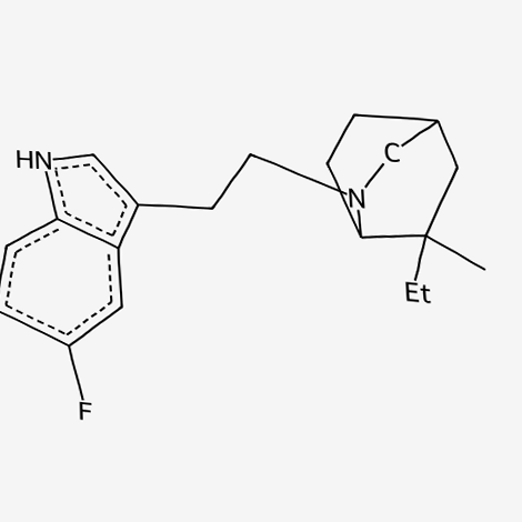 CCC1(C)CC2CCC1N(CCc1c[nH]c3ccc(F)cc13)C2